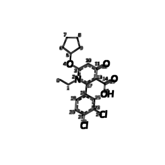 CCn1c(OC2CCCC2)cc(=O)c(C(=O)O)c1-c1ccc(Cl)c(Cl)c1